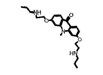 CCCNCCOc1ccc2c(=O)c3ccc(OCCNCCC)cc3n(C)c2c1